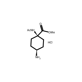 COC(=O)[C@]1(NC(C)=O)CC[C@@H](N)CC1.Cl